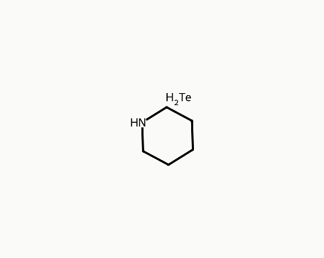 C1CCNCC1.[TeH2]